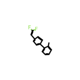 Cc1ccccc1-c1ccc(C=C(F)F)cc1